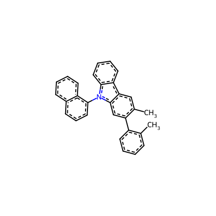 Cc1ccccc1-c1cc2c(cc1C)c1ccccc1n2-c1cccc2ccccc12